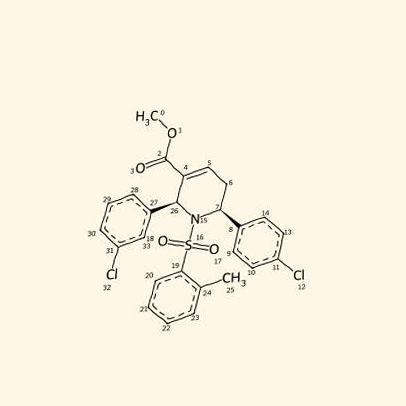 COC(=O)C1=CC[C@@H](c2ccc(Cl)cc2)N(S(=O)(=O)c2ccccc2C)[C@H]1c1cccc(Cl)c1